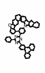 c1ccc(-c2nc(-c3ccc4c5ccccc5c5ccccc5c4c3)nc(-c3ccc(-n4c5ccccc5c5cc6ccccc6cc54)cc3-c3cccc4oc5cc6ccccc6cc5c34)n2)cc1